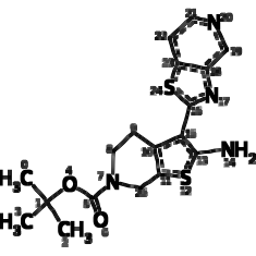 CC(C)(C)OC(=O)N1CCc2c(sc(N)c2-c2nc3cnccc3s2)C1